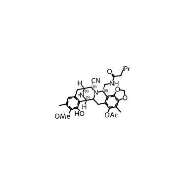 COc1c(C)cc2c(c1O)[C@H]1C3Cc4c(OC(C)=O)c(C)c5c(c4[C@H](CNC(=O)CC(C)C)N3[C@@H](C#N)[C@@H](C2)N1C)OCO5